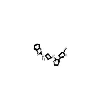 N#Cc1ccc(-c2cccnc2O[C@H]2C[C@@H](Nc3nc4ccccc4s3)C2)cn1